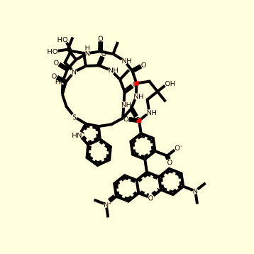 CC1NC(=O)C(CC(C)(O)CNC(=O)c2ccc(-c3c4ccc(=[N+](C)C)cc-4oc4cc(N(C)C)ccc34)c(C(=O)[O-])c2)NC(=O)C2Cc3c([nH]c4ccccc34)SCC(NC(=O)C(C(C)O)NC1=O)C(=O)N1CC(O)CC1C(=O)NC(C)C(=O)N2